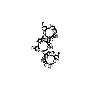 C[C@@H]1COc2ncc(F)cc2CN2c3nc4c(cnn4c(C[C@H]4CCNC(=O)c5cnn6c(C[C@H]7CNC(=O)c8cnn9cc%10c(nc89)N(Cc8cc(F)cnc8O7)[C@H](C)C%10)c7c(nc56)N(Cc5cc(F)cnc5O4)[C@H](C)C7)c3C[C@H]2CF)C(=O)N1